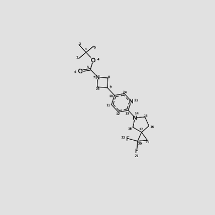 CC(C)(C)OC(=O)N1CC(c2ccc(N3CCC4(C3)CC4(F)F)nc2)C1